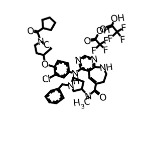 CN(C(=O)C1=Cc2c(ncnc2Nc2ccc(OC3CCN(C(=O)C4CCCC4)CC3)c(Cl)c2)NCC1)C1CCN(Cc2ccccc2)C1.O=C(O)C(F)(F)F.O=C(O)C(F)(F)F